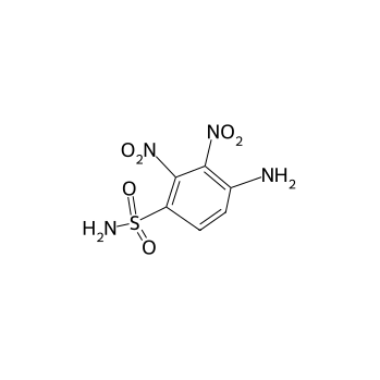 Nc1ccc(S(N)(=O)=O)c([N+](=O)[O-])c1[N+](=O)[O-]